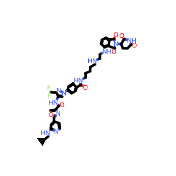 O=C1CCC(N2C(=O)c3cccc(NCCNCCCCCNC(=O)c4ccc(-n5cc(NC(=O)c6coc(-c7ccnc(NCC8CC8)c7)n6)c(C(F)F)n5)cc4)c3C2=O)C(=O)N1